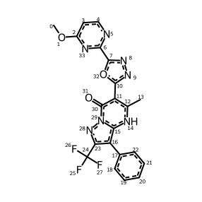 COc1ccnc(-c2nnc(-c3c(C)[nH]c4c(-c5ccccc5)c(C(F)(F)F)nn4c3=O)o2)n1